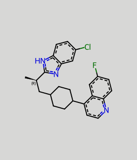 C[C@H](CC1CCC(c2ccnc3ccc(F)cc23)CC1)c1nc2cc(Cl)ccc2[nH]1